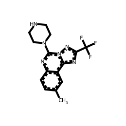 Cc1ccc2nc(N3CCNCC3)n3nc(C(F)(F)F)nc3c2c1